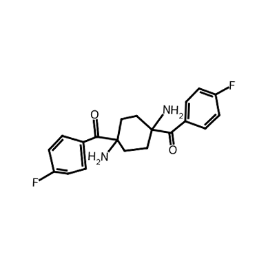 NC1(C(=O)c2ccc(F)cc2)CCC(N)(C(=O)c2ccc(F)cc2)CC1